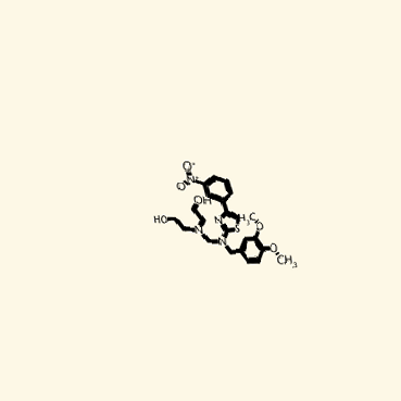 COc1ccc(CN(CN(CCO)CCO)c2nc(-c3cccc([N+](=O)[O-])c3)cs2)cc1OC